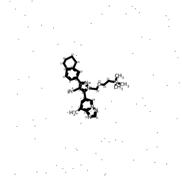 Cc1cc(-c2c(C(C)C)c(-c3ccc4c(c3)CC[CH]C4)nn2COCC[Si](C)(C)C)cn2ncnc12